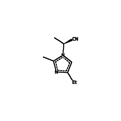 CCc1cn([C@@H](C)C#N)c(C)n1